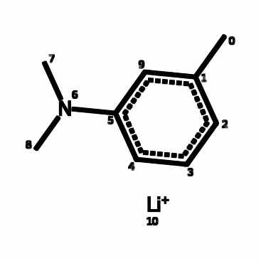 Cc1cccc(N(C)C)c1.[Li+]